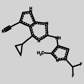 Cc1nn(C(F)F)cc1Nc1nc(C2CC2)c2c(C#N)c[nH]c2n1